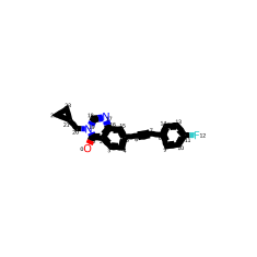 O=c1c2ccc(C#Cc3ccc(F)cc3)cc2ncn1CC1CC1